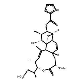 CO[C@H]1C[C@H]2C=CC3C4[C@H](O)[C@@H](C)[C@@H](OC(=O)c5ccc[nH]5)[C@@H]3O[C@]42/C(C)=C/[C@@H](C)[C@@H]([C@@H](C)OS(=O)(=O)O)OC1=O